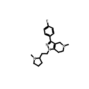 CN1CCc2c(c(-c3ccc(F)cc3)nn2CCC2CCCN2C)C1